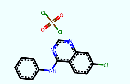 Clc1ccc2c(Nc3ccccc3)ncnc2c1.O=S(=O)(Cl)Cl